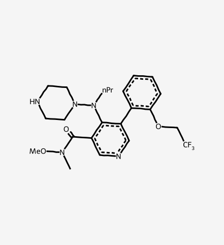 CCCN(c1c(C(=O)N(C)OC)cncc1-c1ccccc1OCC(F)(F)F)N1CCNCC1